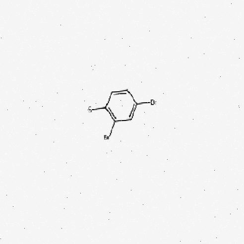 [S]c1ccc(Br)cc1Br